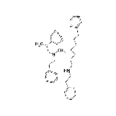 CC(CN(C)CCc1ccccc1)c1ccccc1.c1ccc(CCCCCCCNCCc2ccccc2)cc1